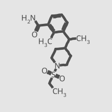 CCS(=O)(=O)N1CCC(C(C)c2cccc(C(N)=O)c2C)CC1